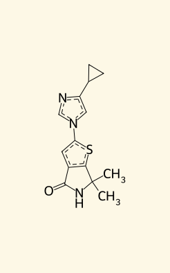 CC1(C)NC(=O)c2cc(-n3cnc(C4CC4)c3)sc21